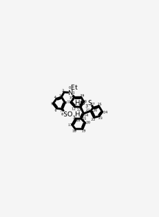 CCN(Cc1cccc(S(=O)(=O)O)c1)c1ccc(C(=C2C=C[C]C=C2)c2ccccc2S(=O)(=O)O)cc1